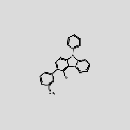 Cc1cccc(-c2ccc3c(c2S)c2ccccc2n3-c2ccccc2)c1